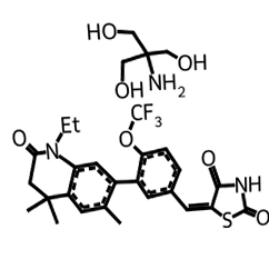 CCN1C(=O)CC(C)(C)c2cc(C)c(-c3cc(/C=C4/SC(=O)NC4=O)ccc3OC(F)(F)F)cc21.NC(CO)(CO)CO